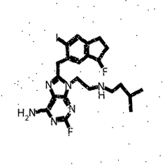 CC(C)CCNCCn1c(Cc2cc3c(cc2I)CCC3F)nc2c(N)nc(F)nc21